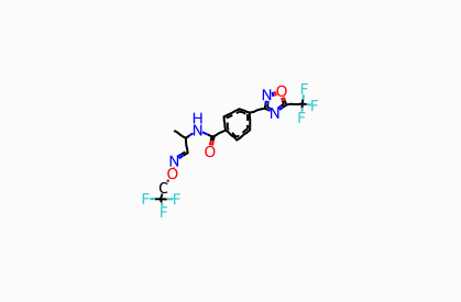 CC(/C=N/OCC(F)(F)F)NC(=O)c1ccc(-c2noc(C(F)(F)F)n2)cc1